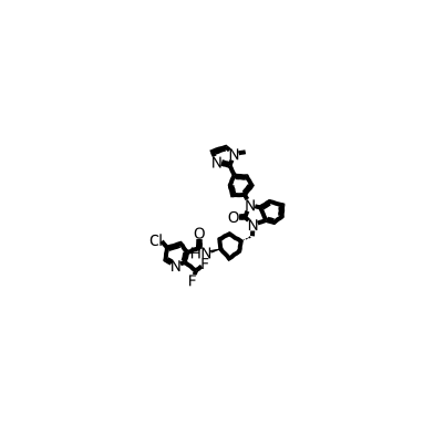 Cn1ccnc1-c1ccc(-n2c(=O)n(C[C@H]3CC[C@H](NC(=O)c4cc(Cl)cnc4C(F)F)CC3)c3ccccc32)cc1